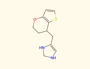 C1=C(CC2CCOc3ccsc32)NCN1